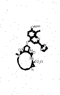 CCOC(=O)[C@@]12C[C@H]1/C=C\CCCCN(C)C(=O)[C@@H]1C[C@H](Oc3cc(-c4nccs4)nc4c(C)c(OC)ccc34)C[C@H]1C(=O)N2